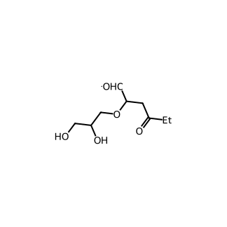 CCC(=O)CC([C]=O)OCC(O)CO